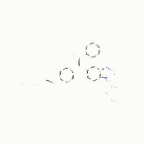 CCC(=C(c1ccc(C=CC(=O)O)cc1)c1ccc2c(cnn2C2CCCCO2)c1)c1ccccc1